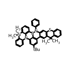 CC(C)(C)c1cc2c3c(c1)N1c4ccccc4[Si](C)(C)c4cccc(c41)B3N(c1ccccc1)c1cc3c(cc1-2)C(C)(C)c1ccccc1S3